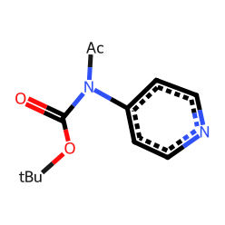 CC(=O)N(C(=O)OC(C)(C)C)c1ccncc1